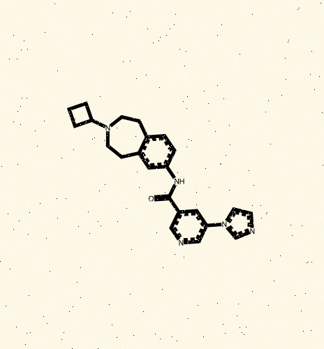 O=C(Nc1ccc2c(c1)CCN(C1CCC1)CC2)c1cncc(-n2ccnc2)c1